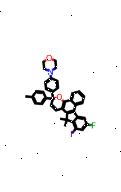 Cc1ccc(C2(c3ccc(N4CCOCC4)cc3)C=Cc3c4c(c5ccccc5c3O2)-c2cc(F)cc(I)c2C4(C)C)cc1